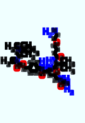 CC(C)[C@H](NC(=O)CCCOCCN)C(=O)N[C@@H](CCCNC(N)=O)C(=O)Nc1ccc(COC(=O)N(C)CCN(C)C(C)(C)C)cc1